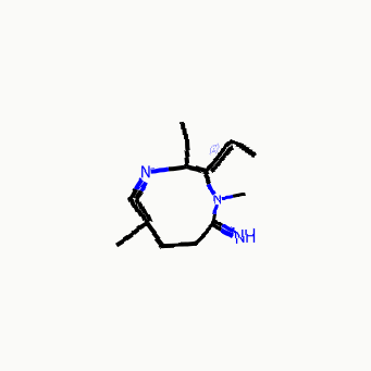 C/C=C1/C(C)N=C=C(C)CCC(=N)N1C